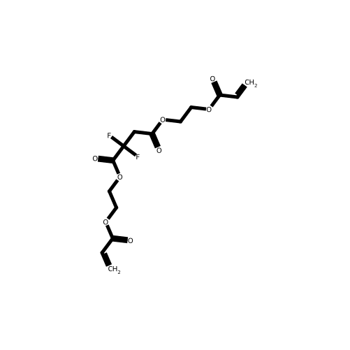 C=CC(=O)OCCOC(=O)CC(F)(F)C(=O)OCCOC(=O)C=C